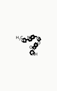 C[C@@H]1CC(c2ccc3cc(CN4CC[C@H](Oc5ccc6c(c5)CN(C5CCCNC5)C6=O)C4)ccc3n2)CCO1